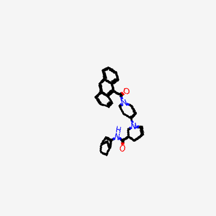 O=C(NC1CC2CCC1C2)C1CCCN(C2CCN(C(=O)c3c4ccccc4cc4ccccc34)CC2)C1